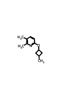 Cc1ccc(OC2CC(C)C2)nc1C